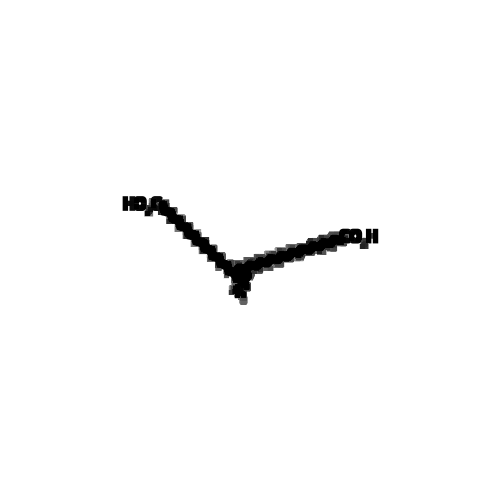 CN(C)Cc1cc(CCCCCCC=CCC=CCCCCCCCC(=O)O)cc(CCCCCCC=CCC=CCCCCCCCC(=O)O)c1